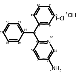 Cl.Cl.Nc1ccc(C(c2ccccc2)c2ccccc2)nc1